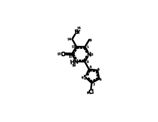 Cc1nc(-c2ccc(Cl)s2)[nH]c(=O)c1CBr